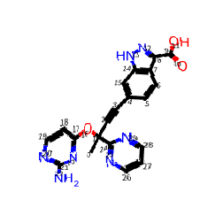 CC(C#Cc1ccc2c(C(=O)O)n[nH]c2c1)(Oc1ccnc(N)n1)c1ncccn1